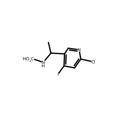 CC(NC(=O)O)c1cnc(Cl)cc1I